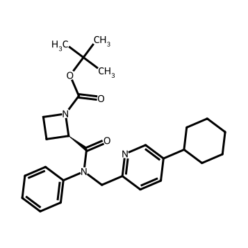 CC(C)(C)OC(=O)N1CC[C@@H]1C(=O)N(Cc1ccc(C2CCCCC2)cn1)c1ccccc1